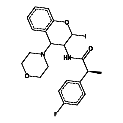 C[C@H](C(=O)NC1C(I)Oc2ccccc2C1N1CCOCC1)c1ccc(F)cc1